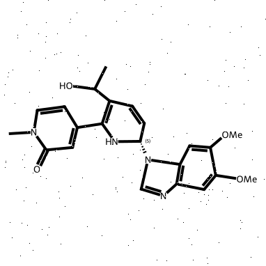 COc1cc2ncn([C@H]3C=CC(C(C)O)=C(c4ccn(C)c(=O)c4)N3)c2cc1OC